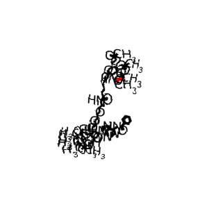 CC(=O)N[C@@H]1[C@@H](OCCCCC(=O)NCCOCCOCO[C@@H]2[C@@H]3O[Si](C(C)C)(C(C)C)O[Si](C(C)C)(C(C)C)OC[C@H]3O[C@H]2n2cnc3c(NC(=O)c4ccccc4)ncnc32)O[C@@H](COC(C)=O)[C@@H](OC(C)=O)[C@H]1OC(C)=O